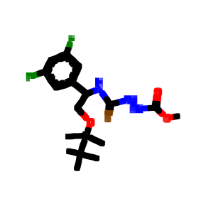 COC(=O)NNC(=S)NC(CO[Si](C)(C)C(C)(C)C)c1cc(F)cc(F)c1